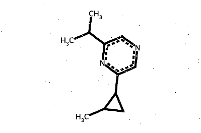 CC(C)c1cncc(C2CC2C)n1